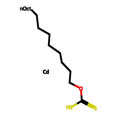 CCCCCCCCCCCCCCCCOC(=S)S.[Cd]